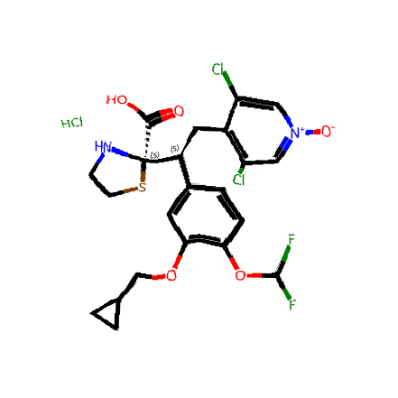 Cl.O=C(O)[C@@]1([C@@H](Cc2c(Cl)c[n+]([O-])cc2Cl)c2ccc(OC(F)F)c(OCC3CC3)c2)NCCS1